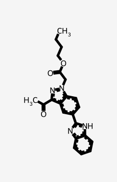 CCCCOC(=O)Cn1nc(C(C)=O)c2cc(-c3nc4ccccc4[nH]3)ccc21